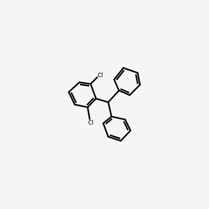 Clc1cccc(Cl)c1[C](c1ccccc1)c1ccccc1